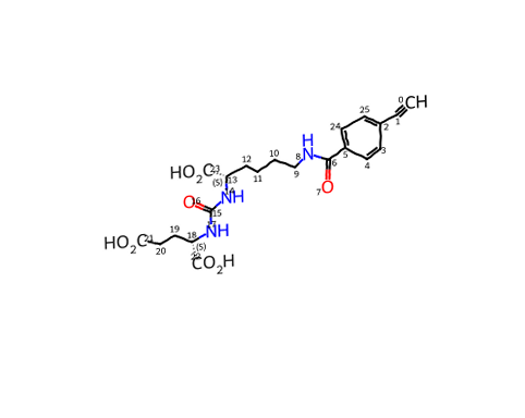 C#Cc1ccc(C(=O)NCCCC[C@H](NC(=O)N[C@@H](CCC(=O)O)C(=O)O)C(=O)O)cc1